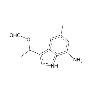 Cc1cc(N)c2[nH]cc(C(C)OC=O)c2c1